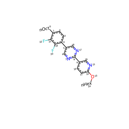 CCCCCCCCc1ccc(-c2cnc(-c3ccc(OCCCCCC)nc3)nc2)c(F)c1F